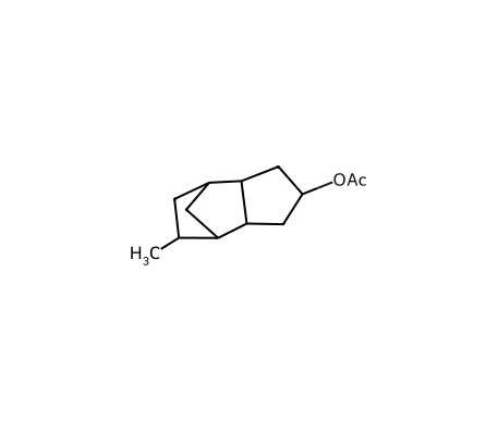 CC(=O)OC1CC2C3CC(C)C(C3)C2C1